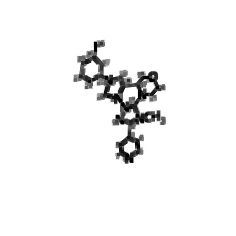 Cn1c(-c2ccncc2)nnc1N1CCOCC1c1cn(-c2cccc(I)c2)cn1